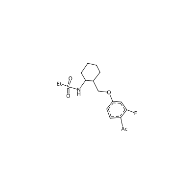 CCS(=O)(=O)NC1CCCCC1COc1ccc(C(C)=O)c(F)c1